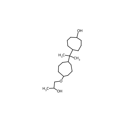 CC(O)COC1CCCC(C(C)(C)C2CCCC(O)CCC2)CCC1